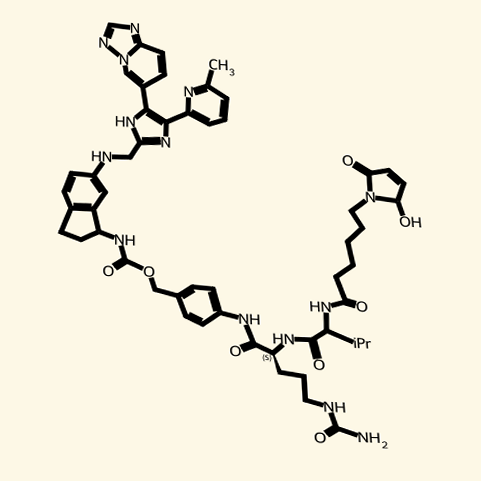 Cc1cccc(-c2nc(CNc3ccc4c(c3)C(NC(=O)OCc3ccc(NC(=O)[C@H](CCCNC(N)=O)NC(=O)C(NC(=O)CCCCCN5C(=O)C=CC5O)C(C)C)cc3)CC4)[nH]c2-c2ccc3ncnn3c2)n1